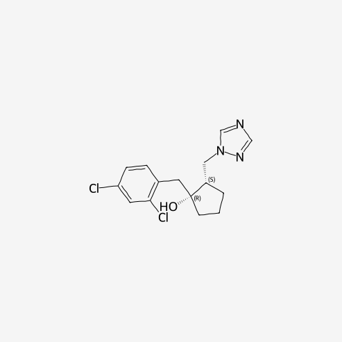 O[C@@]1(Cc2ccc(Cl)cc2Cl)CCC[C@H]1Cn1cncn1